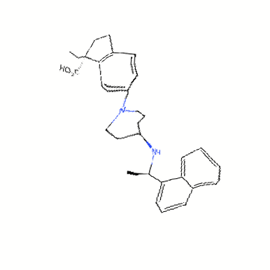 C[C@@H](N[C@H]1CCN(c2ccc3c(c2)[C@](C)(C(=O)O)CC3)C1)c1cccc2ccccc12